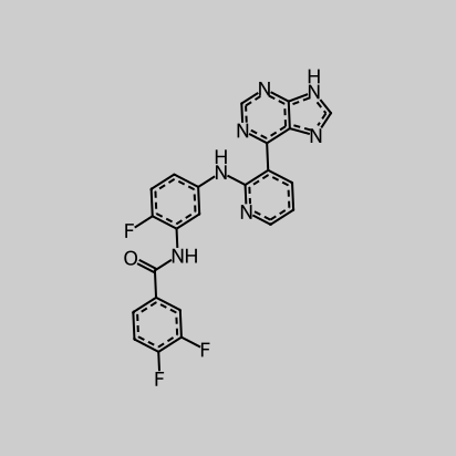 O=C(Nc1cc(Nc2ncccc2-c2ncnc3[nH]cnc23)ccc1F)c1ccc(F)c(F)c1